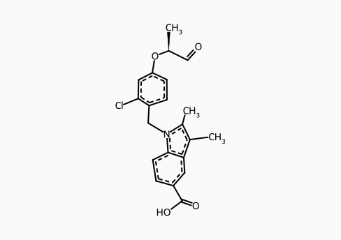 Cc1c(C)n(Cc2ccc(O[C@@H](C)C=O)cc2Cl)c2ccc(C(=O)O)cc12